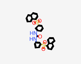 O=C(Nc1cccc(S(=O)(=O)c2cccc3ccccc23)c1)Nc1cccc(S(=O)(=O)c2cccc3ccccc23)c1